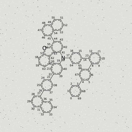 c1ccc(-c2ccc(-c3ccccc3-c3ccc(N(c4ccc(-c5ccc(-c6cccc7ccccc67)cc5)cc4)c4ccc(-c5cccc6ccccc56)c5oc6ccccc6c45)cc3)cc2)cc1